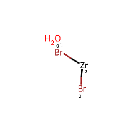 O.[Br][Zr][Br]